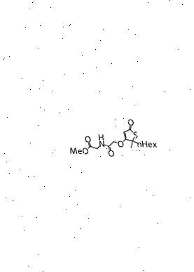 CCCCCCC1(C)SC(=O)C=C1OCC(=O)NCC(=O)OC